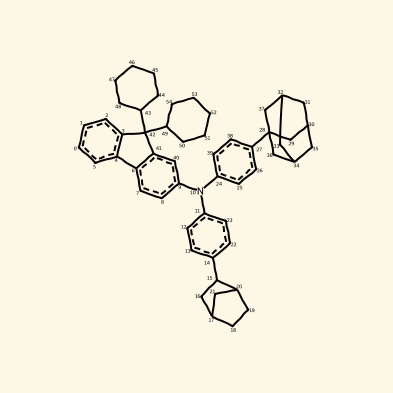 c1ccc2c(c1)-c1ccc(N(c3ccc(C4CC5CCC4C5)cc3)c3ccc(C45CC6CC(CC(C6)C4)C5)cc3)cc1C2(C1CCCCC1)C1CCCCC1